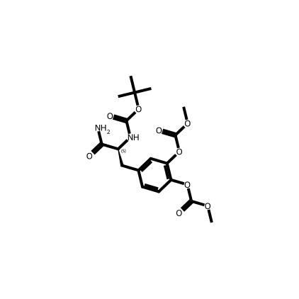 COC(=O)Oc1ccc(C[C@H](NC(=O)OC(C)(C)C)C(N)=O)cc1OC(=O)OC